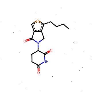 CCCCc1scc2c1CN(C1CCC(=O)NC1=O)C2=O